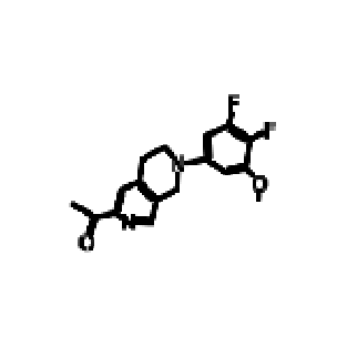 COc1cc(N2CCc3cc(C(C)=O)ncc3C2)cc(F)c1F